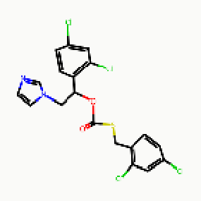 O=C(OC(Cn1ccnc1)c1ccc(Cl)cc1Cl)SCc1ccc(Cl)cc1Cl